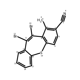 Cc1c(C#N)ccc2c1C(Br)=C(Br)c1ccccc1S2